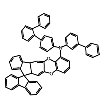 C1=C2Oc3cccc(N(c4ccc(-c5ccccc5-c5ccccc5)cc4)c4cccc(-c5ccccc5)c4)c3OC2=CC2c3ccccc3C3(c4ccccc4-c4ccccc43)C12